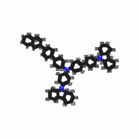 c1ccc2cc(-c3ccc(-c4ccc(N(c5ccc(-c6ccc(-n7c8ccccc8c8ccccc87)cc6)cc5)c5ccc(-n6c7ccccc7c7ccccc76)cc5)cc4)cc3)ccc2c1